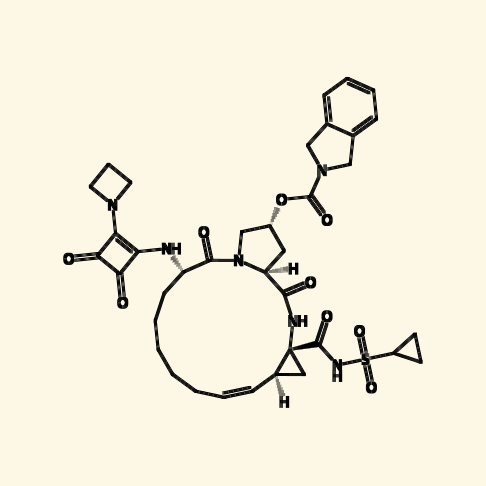 O=C1N[C@]2(C(=O)NS(=O)(=O)C3CC3)C[C@H]2/C=C\CCCCC[C@H](Nc2c(N3CCC3)c(=O)c2=O)C(=O)N2C[C@H](OC(=O)N3Cc4ccccc4C3)C[C@@H]12